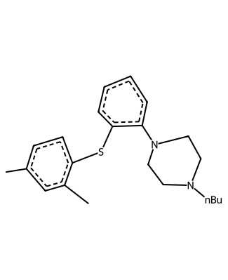 CCCCN1CCN(c2ccccc2Sc2ccc(C)cc2C)CC1